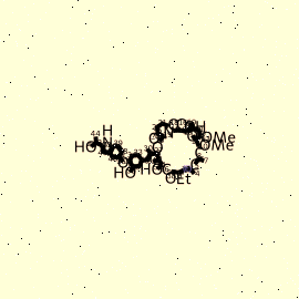 CCC1/C=C(\C)CC(C)CC(OC)C2OC(O)(C(=O)C(=O)N3CCCCC3C(=O)OC(C(C)=CC3CCC(Oc4ccc5[nH]c(C(C)O)cc5c4)C(O)C3)C(C)C(O)CC1=O)C(C)CC2OC